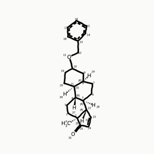 C[C@]12CC[C@H]3[C@@H](CC[C@@H]4CC(OCc5ccccc5)CC[C@@H]43)[C@@H]1C=CC2=O